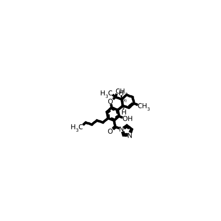 CCCCCc1cc2c(c(O)c1C(=O)n1ccnc1)[C@@H]1C=C(C)CC[C@H]1C(C)(C)O2